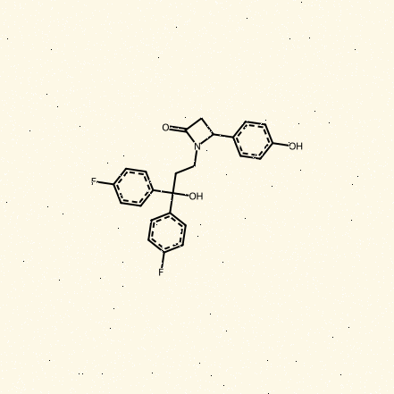 O=C1CC(c2ccc(O)cc2)N1CCC(O)(c1ccc(F)cc1)c1ccc(F)cc1